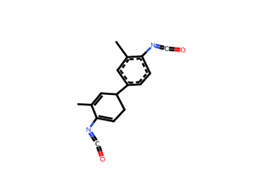 CC1=CC(c2ccc(N=C=O)c(C)c2)CC=C1N=C=O